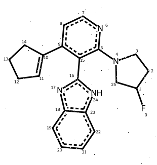 FC1CCN(c2nccc(C3=CCCC3)c2-c2nc3ccccc3[nH]2)C1